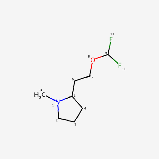 CN1CCCC1CCO[C](F)F